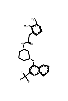 Cc1cccc(CC(=O)N[C@@H]2CCC[C@H](Nc3cc(C(F)(F)F)nc4ccccc34)C2)c1C